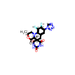 C[C@@H]1CN2c3c(cc(-n4cnnn4)c(F)c3F)CC3(C(=O)NC(=O)NC3=O)[C@H]2[C@H](C)O1